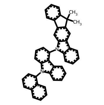 CC1(C)c2ccccc2-c2cc3c(cc21)c1ccccc1n3-c1cccc2c1c1ccccc1n2-c1cccc2ccccc12